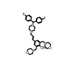 Oc1c(CN2CCOCC2)cc(C=CCN2CCN(C(c3ccc(F)cc3)c3ccc(F)cc3)CC2)cc1CN1CCOCC1